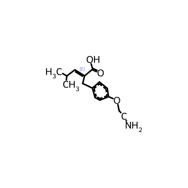 CC(C)/C=C(\Cc1ccc(OCCN)cc1)C(=O)O